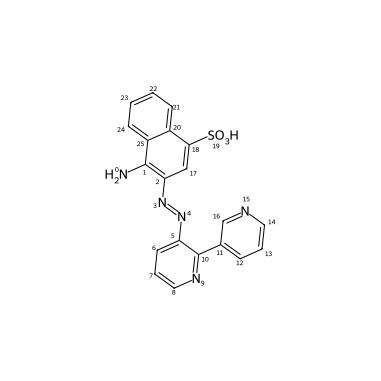 Nc1c(N=Nc2cccnc2-c2cccnc2)cc(S(=O)(=O)O)c2ccccc12